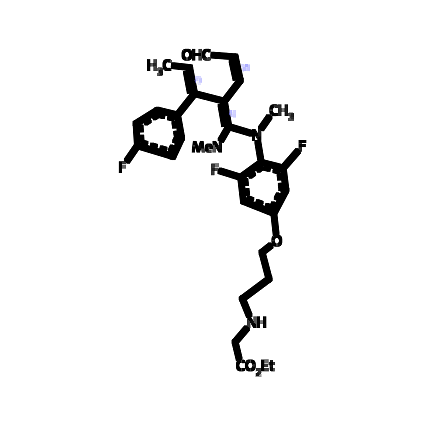 C/C=C(C(/C=C\C=O)=C(\NC)N(C)c1c(F)cc(OCCCNCC(=O)OCC)cc1F)\c1ccc(F)cc1